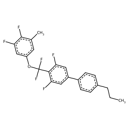 CCCc1ccc(-c2cc(F)c(C(F)(F)Oc3cc(C)c(F)c(F)c3)c(F)c2)cc1